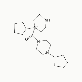 O=C(N1CCN(C2CCCC2)CC1)[N+]1(C2CCCC2)CCNCC1